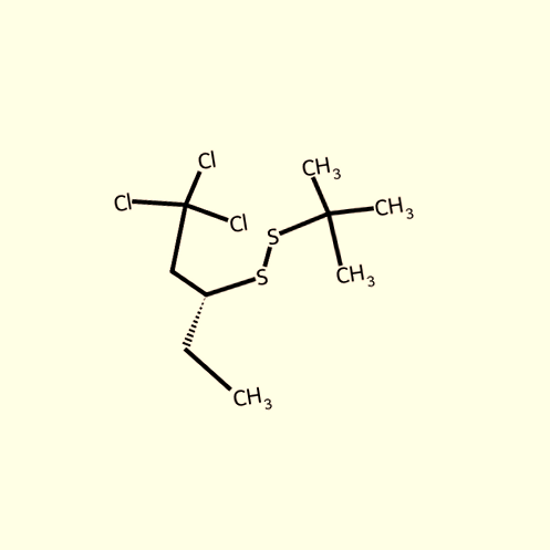 CC[C@H](CC(Cl)(Cl)Cl)SSC(C)(C)C